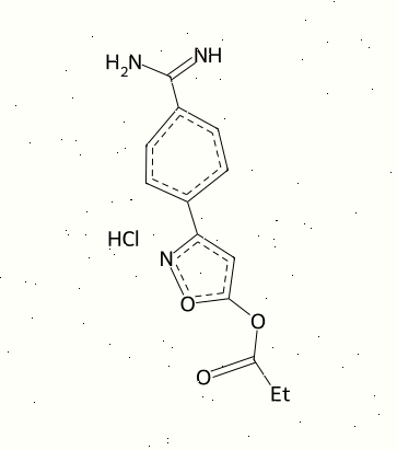 CCC(=O)Oc1cc(-c2ccc(C(=N)N)cc2)no1.Cl